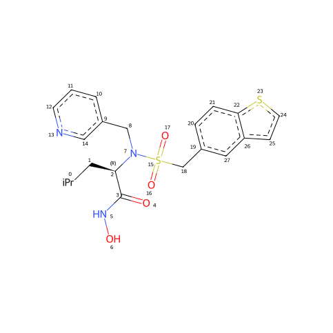 CC(C)C[C@H](C(=O)NO)N(Cc1cccnc1)S(=O)(=O)Cc1ccc2sccc2c1